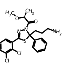 CO[C@@H](C)C(=O)N1N=C(c2cccc(Cl)c2Cl)SC1(CCCN)c1ccccc1